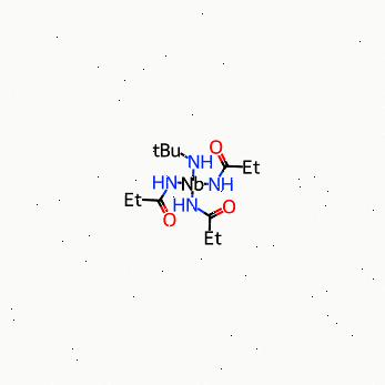 CCC(=O)[NH][Nb]([NH]C(=O)CC)([NH]C(=O)CC)[NH]C(C)(C)C